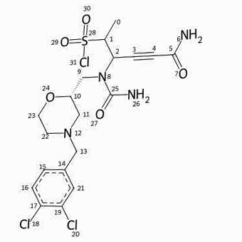 CC(C(C#CC(N)=O)N(C[C@@H]1CN(Cc2ccc(Cl)c(Cl)c2)CCO1)C(N)=O)S(=O)(=O)Cl